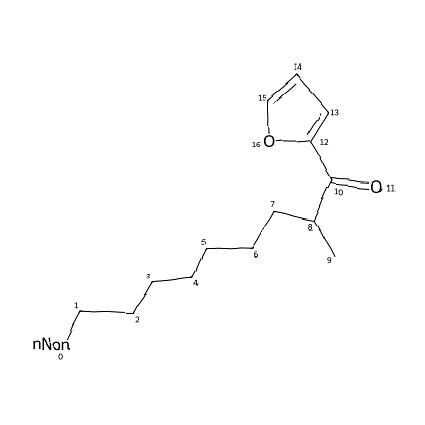 CCCCCCCCCCCCCCCCC(C)C(=O)c1ccco1